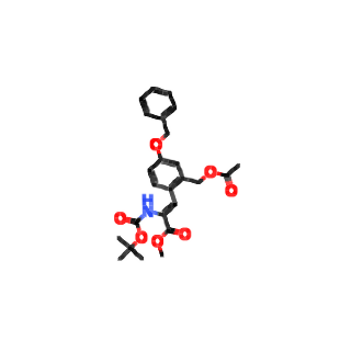 COC(=O)/C(=C/c1ccc(OCc2ccccc2)cc1COC(C)=O)NC(=O)OC(C)(C)C